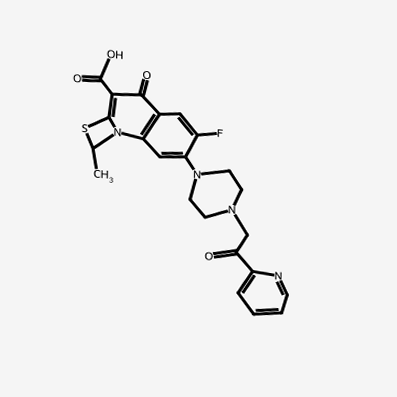 CC1Sc2c(C(=O)O)c(=O)c3cc(F)c(N4CCN(CC(=O)c5ccccn5)CC4)cc3n21